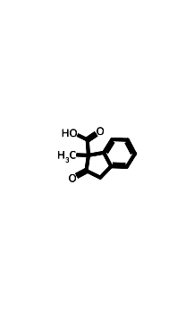 CC1(C(=O)O)C(=O)Cc2ccccc21